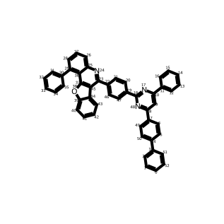 c1ccc(-c2ccc(-c3cc(-c4ccccc4)nc(-c4ccc(-c5nc6cccc(-c7ccccc7)c6c6oc7ccccc7c56)cc4)n3)cc2)cc1